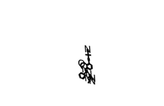 Cc1nnc2nc(N3CCOCc4c(C#CC(C)(C)C#N)cccc43)c3ccccc3n12